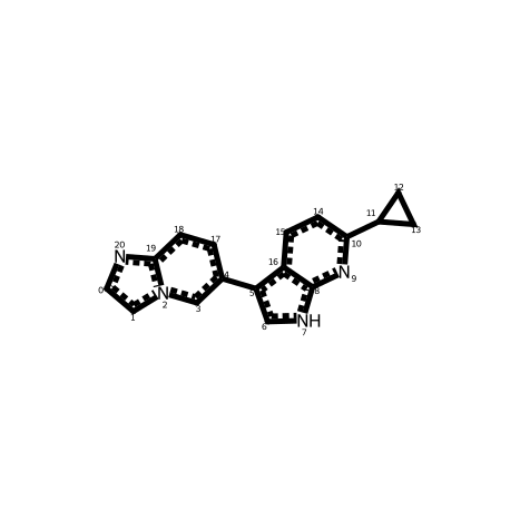 c1cn2cc(-c3c[nH]c4nc(C5CC5)ccc34)ccc2n1